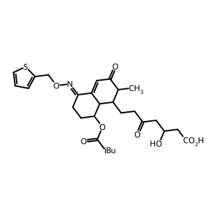 CCC(C)C(=O)OC1CCC(=NOCc2cccs2)C2=CC(=O)C(C)C(CCC(=O)CC(O)CC(=O)O)C21